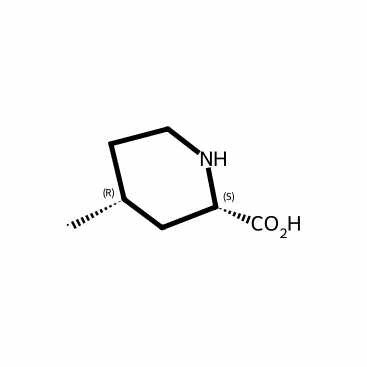 [CH2][C@@H]1CCN[C@H](C(=O)O)C1